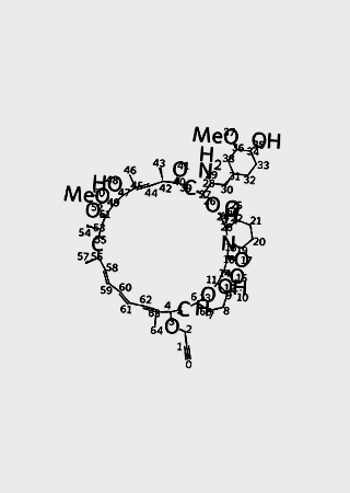 C#CCOC1C[C@@H]2CC[C@@H](C)[C@@](O)(O2)C(=O)C(=O)N2CCCC[C@H]2C(=O)O[C@H]([C@H](N)C[C@@H]2CC[C@@H](O)[C@H](OC)C2)CC(=O)[C@H](C)/C=C(\C)[C@@H](O)[C@@H](OC)C(=O)[C@H](C)C[C@H](C)/C=C/C=C/C=C/1C